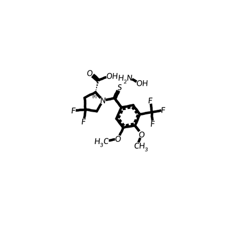 COc1cc(C(=S)N2CC(F)(F)C[C@@H]2C(=O)O)cc(C(F)(F)F)c1OC.NO